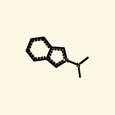 CN(C)n1cc2ccccc2c1